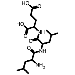 CC(C)CC(N)C(=O)NC(CC(C)C)C(=O)NC(CCC(=O)O)C(=O)O